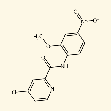 COc1cc([N+](=O)[O-])ccc1NC(=O)c1cc(Cl)ccn1